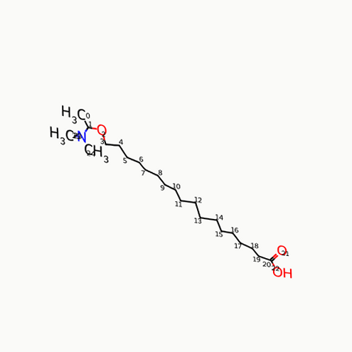 CC(OCCCCCCCCCCCCCCCCCC(=O)O)N(C)C